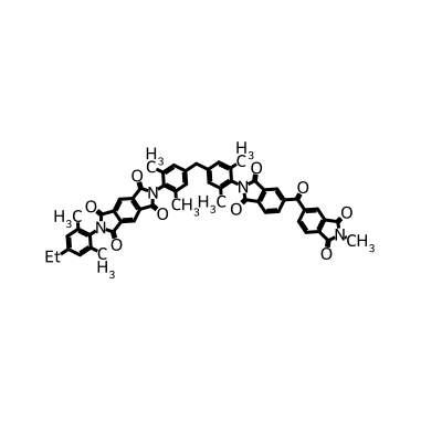 CCc1cc(C)c(-n2c(=O)c3cc4c(=O)n(-c5c(C)cc(Cc6cc(C)c(N7C(=O)c8ccc(C(=O)c9ccc%10c(c9)C(=O)N(C)C%10=O)cc8C7=O)c(C)c6)cc5C)c(=O)c4cc3c2=O)c(C)c1